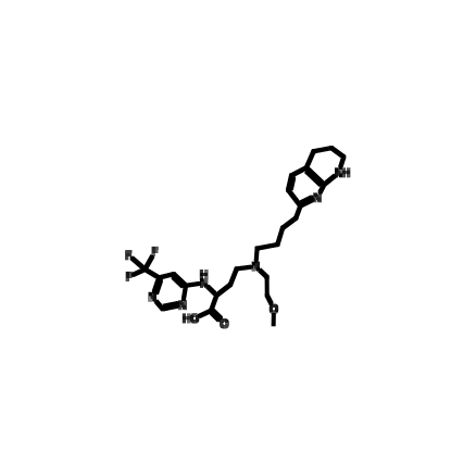 COCCN(CCCCc1ccc2c(n1)NCCC2)CCC(Nc1cc(C(F)(F)F)ncn1)C(=O)O